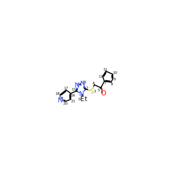 CCn1c(SCC(=O)c2ccccc2)nnc1-c1ccncc1